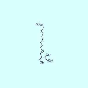 CCCCCCCCCCCCCCCCCCOCC(CO)C(O)CO